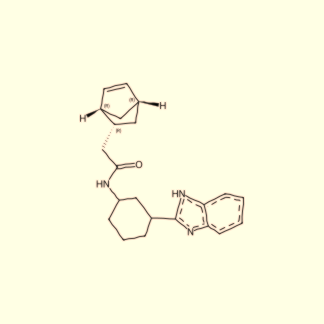 O=C(C[C@H]1C[C@H]2C=C[C@@H]1C2)NC1CCCC(c2nc3ccccc3[nH]2)C1